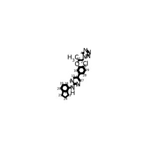 CC(Cn1cnnn1)Oc1cc(-c2cnc(Nc3cccc4c3CCC4)nc2)ccc1Cl